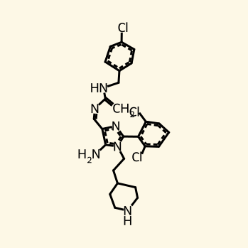 C=C(/N=C\c1nc(-c2c(Cl)cccc2Cl)n(CCC2CCNCC2)c1N)NCc1ccc(Cl)cc1